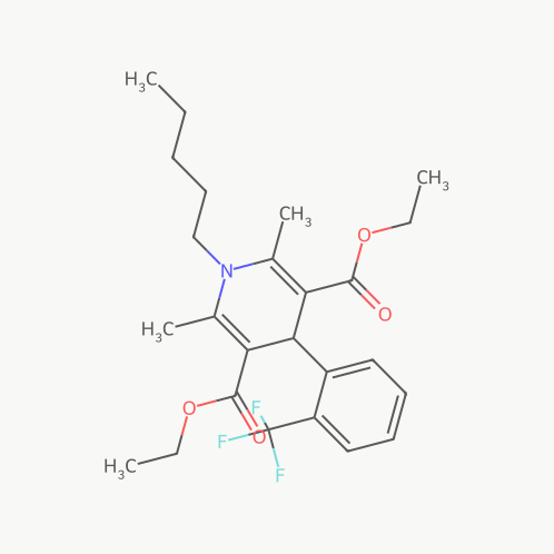 CCCCCN1C(C)=C(C(=O)OCC)C(c2ccccc2C(F)(F)F)C(C(=O)OCC)=C1C